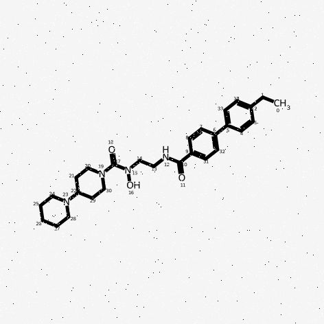 CCc1ccc(-c2ccc(C(=O)NCCN(O)C(=O)N3CCC(N4CCCCC4)CC3)cc2)cc1